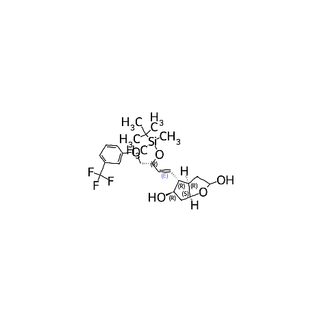 CC(C)(C)[Si](C)(C)O[C@H](/C=C/[C@@H]1[C@H]2CC(O)O[C@H]2C[C@H]1O)COc1cccc(C(F)(F)F)c1